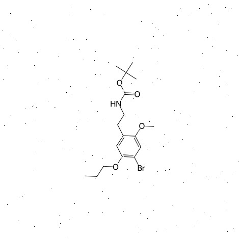 CCCOc1cc(CCNC(=O)OC(C)(C)C)c(OC)cc1Br